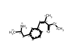 COC(=O)C(C)=Cc1cccc(CC(C)N)c1